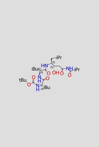 CC[C@H](C)[C@H](NC(=O)OC(C)(C)C)C(=O)N[C@H](C(=O)N[C@@H](CC(C)C)[C@@H](O)CC(=O)NC(=O)C(C)C)[C@@H](C)CC